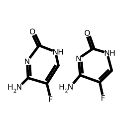 Nc1nc(=O)[nH]cc1F.Nc1nc(=O)[nH]cc1F